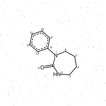 O=C1NCCCCN1c1ccccc1